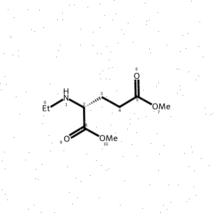 CCN[C@H](CCC(=O)OC)C(=O)OC